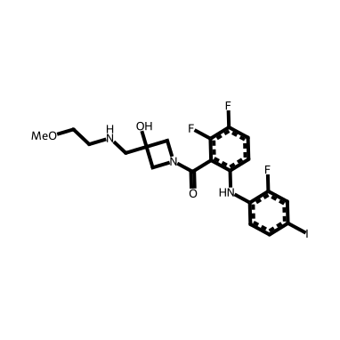 COCCNCC1(O)CN(C(=O)c2c(Nc3ccc(I)cc3F)ccc(F)c2F)C1